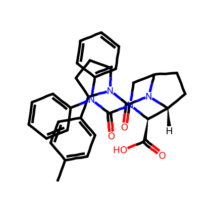 Cc1ccc(C2CCCN2C(=O)N2C3CC[C@@H]2[C@@H](C(=O)O)N(C(=O)N(c2ccccc2)c2ccccc2)C3)cc1